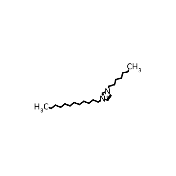 CCCCCCCCCCCC[n+]1ccn(CCCCCCC)c1